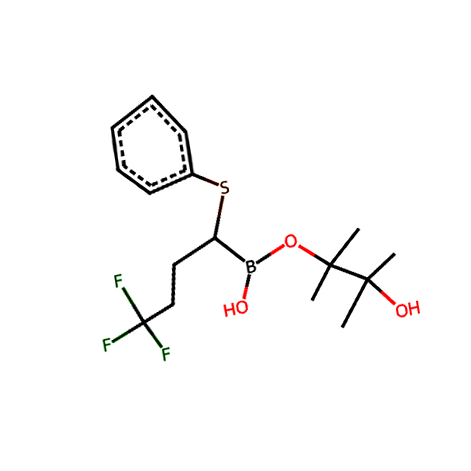 CC(C)(O)C(C)(C)OB(O)C(CCC(F)(F)F)Sc1ccccc1